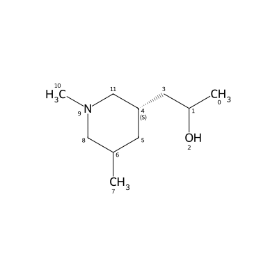 CC(O)C[C@@H]1CC(C)CN(C)C1